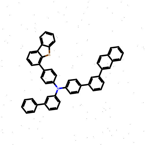 c1ccc(-c2cccc(N(c3ccc(-c4cccc(-c5ccc6ccccc6c5)c4)cc3)c3ccc(-c4cccc5c4sc4ccccc45)cc3)c2)cc1